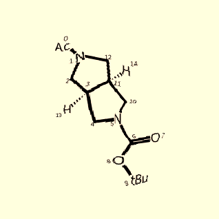 CC(=O)N1C[C@@H]2CN(C(=O)OC(C)(C)C)C[C@@H]2C1